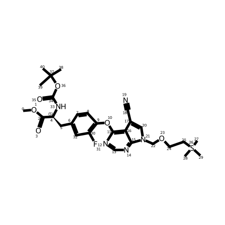 COC(=O)[C@H](Cc1ccc(Oc2ncnc3c2c(C#N)cn3COCCS(C)(C)C)c(F)c1)NC(=O)OC(C)(C)C